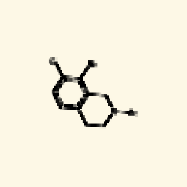 CC(=O)N1CCc2ccc(Cl)c(S)c2C1